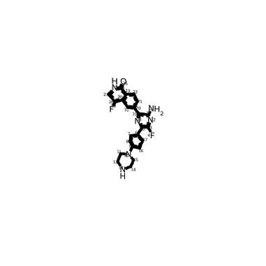 Nc1nc(F)c(-c2ccc(N3CCNCC3)cc2)nc1-c1ccc2c(=O)[nH]cc(F)c2c1